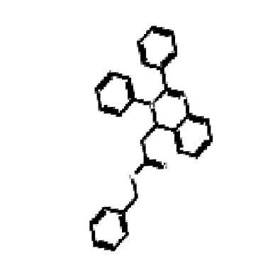 O=C(CC1c2ccccc2N=C(c2ccccc2)N1c1ccccc1)OCc1ccccc1